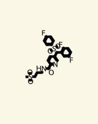 CS(=O)(=O)CCCNC(=O)c1ccc(C(c2cc(F)ccc2F)S(=O)(=O)c2ccc(F)cc2)cn1